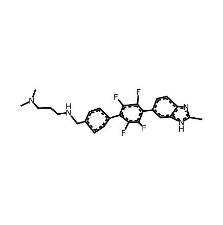 Cc1nc2ccc(-c3c(F)c(F)c(-c4ccc(CNCCCN(C)C)cc4)c(F)c3F)cc2[nH]1